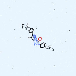 CC1CN(C(=O)Nc2ccc(C(F)(F)F)cc2)N=C1c1ccc(C(F)(F)F)cc1